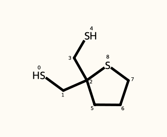 SCC1(CS)CCCS1